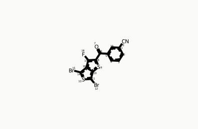 N#Cc1cccc(C(=O)c2sc3c(Br)sc(Br)c3c2F)c1